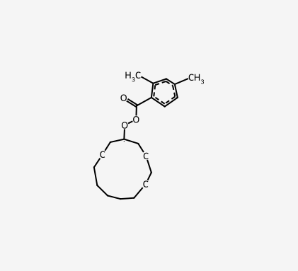 Cc1ccc(C(=O)OO[C]2CCCCCCCCCCC2)c(C)c1